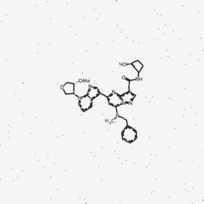 CO[C@H]1COC[C@@H]1n1cccc2c(-c3cc(N(C)Cc4ccccc4)n4ncc(C(=O)NC5CC[C@@H]5O)c4n3)cnc1-2